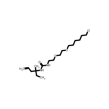 C=CCC(C)(CC)NC(=O)NCCOCCOCCCCCCCl